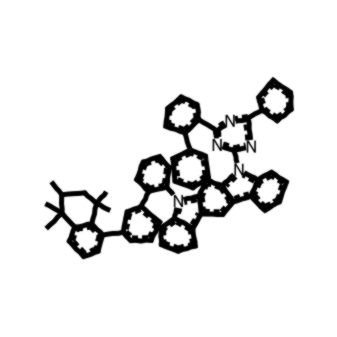 CC1CC(C)(C)c2c(-c3cccc(-c4ccccc4-n4c5ccccc5c5cc6c7ccccc7n(-c7nc(-c8ccccc8)nc(-c8ccccc8-c8ccccc8)n7)c6cc54)c3)cccc2C1(C)C